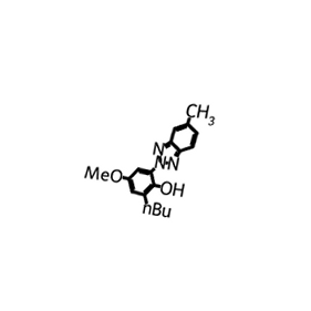 CCCCc1cc(OC)cc(-n2nc3ccc(C)cc3n2)c1O